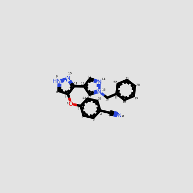 N#Cc1ccc(Oc2c[nH]nc2-c2cnn(Cc3ccccc3)c2)cc1